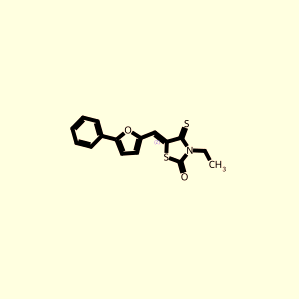 CCN1C(=O)S/C(=C\c2ccc(-c3ccccc3)o2)C1=S